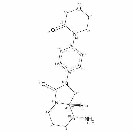 N[C@@H]1CCCN2C(=O)N(c3ccc(N4CCOCC4=O)cc3)C[C@H]12